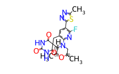 Cc1nnc(-c2cc3c(nc2F)N2C[C@@H](C)O[C@@H](C)[C@@H]2C2(C3)C(=O)NC(=O)NC2=O)s1